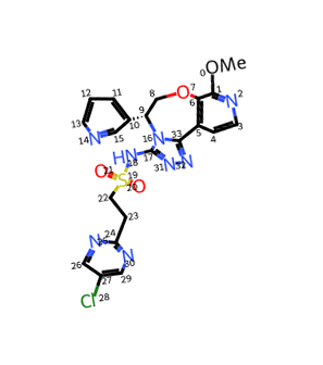 COc1nccc2c1OC[C@@H](c1cccnc1)n1c(NS(=O)(=O)CCc3ncc(Cl)cn3)nnc1-2